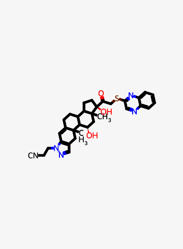 [C-]#[N+]CCn1ncc2c1C=C1CCC3C([C@@H](O)CC4(C)C3CC[C@]4(O)C(=O)CSc3cnc4ccccc4n3)C1(C)C2